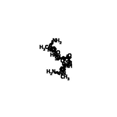 Cc1nc2cc(C(=O)Nc3nc(-c4cc(-c5cocc5-c5cnc(NC(=O)c6ccc7c(c6)nc(C)n7CCCN)s5)co4)cs3)ccc2n1CCCN